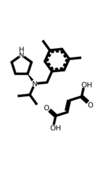 Cc1cc(C)cc(CN(C(C)C)[C@H]2CCNC2)c1.O=C(O)C=CC(=O)O